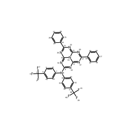 FC(F)(F)c1ccc(N(C2=NC3=NC(c4ccccc4)=NC4=NC(c5ccccc5)=NC(=N2)N43)c2ccc(C(F)(F)F)cc2)cc1